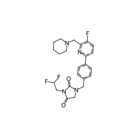 O=C1CN(Cc2ccc(-c3ccc(F)c(CN4CCCCC4)n3)cc2)C(=O)N1CC(F)F